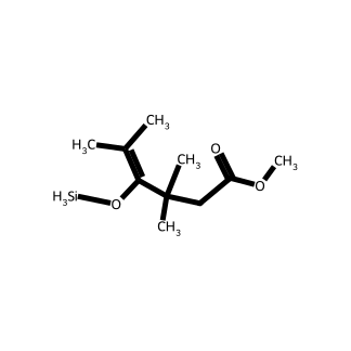 COC(=O)CC(C)(C)C(O[SiH3])=C(C)C